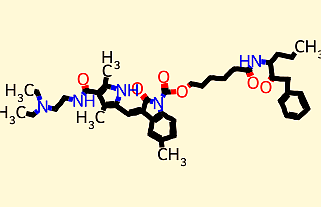 CCCC(NC(=O)CCCCCOC(=O)N1C(=O)/C(=C\c2[nH]c(C)c(C(=O)NCCN(CC)CC)c2C)c2cc(C)ccc21)C(=O)Cc1ccccc1